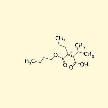 CCCCOC(=O)/C(CCC)=C(\C(=O)O)C(C)C